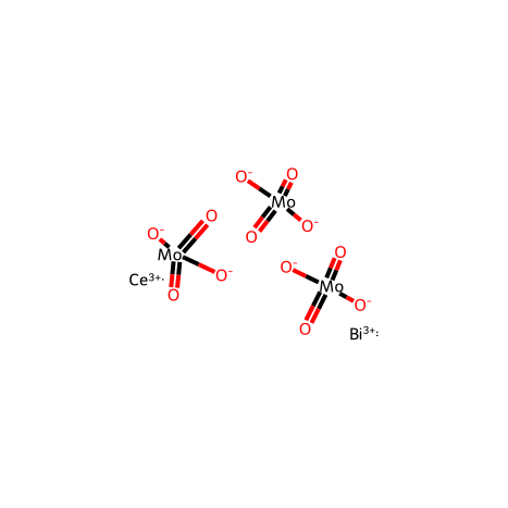 [Bi+3].[Ce+3].[O]=[Mo](=[O])([O-])[O-].[O]=[Mo](=[O])([O-])[O-].[O]=[Mo](=[O])([O-])[O-]